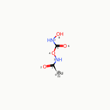 CC[C@H](C)C(=O)NOC(=O)NO